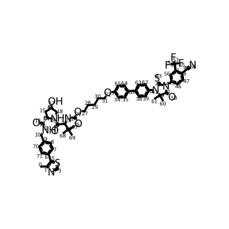 Cc1ncsc1-c1ccc(CNC(=O)[C@@H]2C[C@@H](O)CN2C(=O)C(NC(=O)OCCCCCOc2ccc(-c3ccc(N4C(=S)N(c5ccc(C#N)c(C(F)(F)F)c5)C(=O)C4(C)C)cc3)cc2)C(C)(C)C)cc1